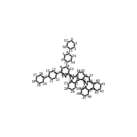 c1ccc(-c2ccc(-c3cc(-c4ccc(-c5ccccc5)cc4)nc(-n4c5ccccc5c5c4ccc4cc6c7ccccc7c7ccccc7n6c45)c3)cc2)cc1